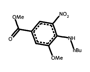 [CH2]CCCNc1c(OC)cc(C(=O)OC)cc1[N+](=O)[O-]